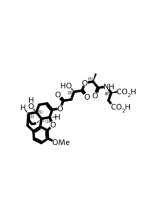 COc1ccc2c3c1O[C@@H]1C(OC(=O)C[C@H](O)C(=O)O[C@@H](C)C(=O)N[C@H](CC(=O)O)C(=O)O)=CC[C@]4(O)[C@@H](CCC[C@@]314)C2